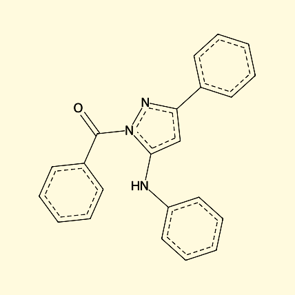 O=C(c1ccccc1)n1nc(-c2ccccc2)cc1Nc1ccccc1